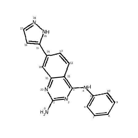 Nc1nc(Nc2ccccc2)c2ccc(-c3ccn[nH]3)cc2n1